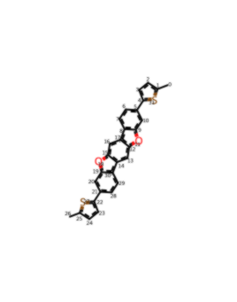 Cc1ccc(-c2ccc3c(c2)oc2cc4c(cc23)oc2cc(-c3ccc(C)s3)ccc24)s1